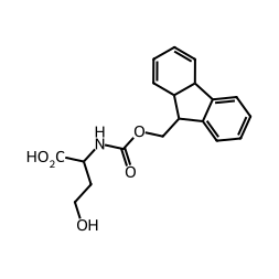 O=C(NC(CCO)C(=O)O)OCC1c2ccccc2C2C=CC=CC21